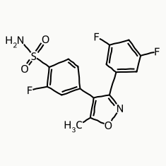 Cc1onc(-c2cc(F)cc(F)c2)c1-c1ccc(S(N)(=O)=O)c(F)c1